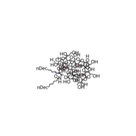 CCCCCCCCCCCCC/C=C/[C@@H](O)[C@H](CO[C@@H]1OC(CO)[C@@H](O[C@@H]2OC(CO)[C@H](O)[C@H](O[C@@H]3OC(CO)[C@@H](O)[C@H](O[C@@H]4OC(CO)[C@H](O)[C@H](O[C@@H]5OC(CO)[C@@H](O[C@@H]6OC(CO)[C@H](O)[C@H](O)C6O[C@H]6OC(C)[C@@H](O)C(O)[C@@H]6O)[C@H](O[C@H]6OC(C)[C@@H](O)C(O)[C@@H]6O)C5NC(C)=O)C4O)C3NC(C)=O)C2O)[C@H](O)C1O)NC(=O)CCCCCCCCCCCCCCC